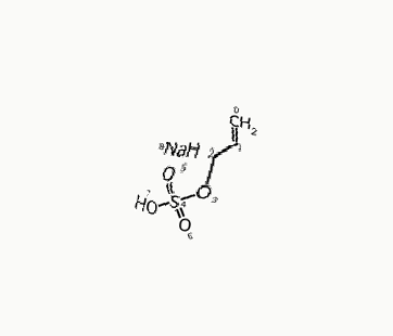 C=CCOS(=O)(=O)O.[NaH]